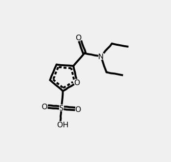 CCN(CC)C(=O)c1ccc(S(=O)(=O)O)o1